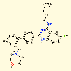 O=C(O)CCCNc1nc(-c2ccc(-c3ccccc3CN3CCOCC3)cc2)nc2ccc(F)cc12